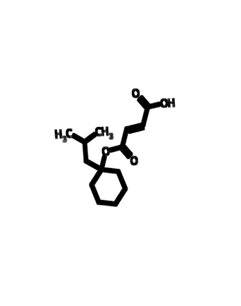 CC(C)CC1(OC(=O)C=CC(=O)O)CCCCC1